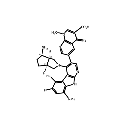 CNc1cc(F)c(C#N)c2c1[nH]c1ncc(-c3cnc4c(c3)c(=O)c(C(=O)O)cn4C)c(N3C[C@H]4CC[C@@H](N)[C@H]4C3)c12